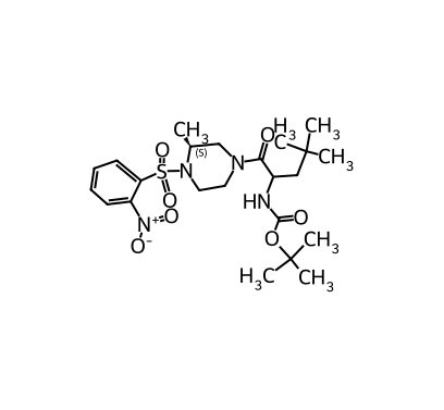 C[C@H]1CN(C(=O)C(CC(C)(C)C)NC(=O)OC(C)(C)C)CCN1S(=O)(=O)c1ccccc1[N+](=O)[O-]